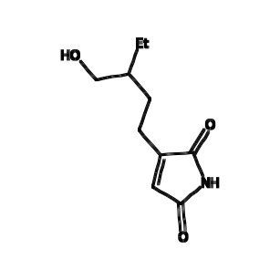 CCC(CO)CCC1=CC(=O)NC1=O